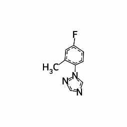 Cc1cc(F)ccc1-n1cncn1